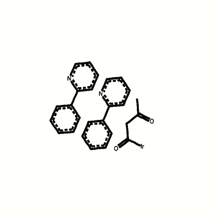 CC(=O)C[C](=O)[Ir].c1ccc(-c2ccccn2)cc1.c1ccc(-c2ccccn2)cc1